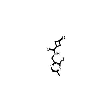 Cc1cnc(CNC(=O)C2CC(=O)C2)c(Cl)n1